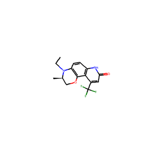 CCN1c2ccc3[nH]c(=O)cc(C(F)(F)F)c3c2OC[C@H]1C